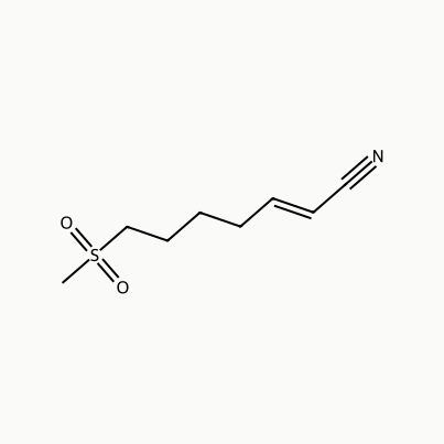 CS(=O)(=O)CCCC/C=C/C#N